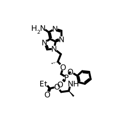 CCC(=O)OC[C@H](C)NP(=O)(CO[C@H](C)Cn1cnc2c(N)ncnc21)Oc1ccccc1